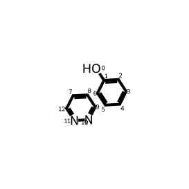 Oc1ccccc1.c1ccnnc1